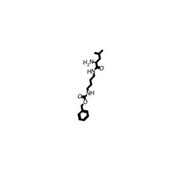 CC(C)C[C@H](N)C(=O)NCCCCNC(=O)OCc1ccccc1